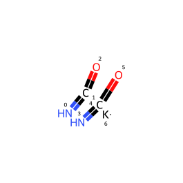 N=C=O.N=C=O.[K]